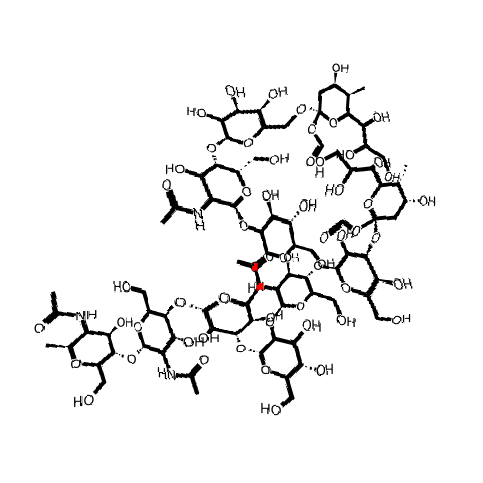 CC(=O)NC1C(O)[C@H](O[C@@H]2OC(CO[C@]3(OC=O)C[C@@H](O)[C@@H](C)C(C(O)C(O)CO)O3)[C@H](O)[C@H](O)C2O)[C@H](CO)O[C@H]1OC1[C@@H](OCC2O[C@@H](O[C@@H]3C(CO)O[C@@H](O[C@@H]4C(CO)O[C@@H](C)C(NC(C)=O)[C@H]4O)C(NC(C)=O)[C@H]3O)C(O)[C@@H](O[C@H]3OC(CO)[C@@H](O)C(O)C3O[C@@H]3OC(CO)[C@@H](O[C@@H]4OC(CO)[C@H](O)[C@H](O[C@]5(OC=O)C[C@@H](O)[C@@H](C)C(C(O)C(O)CO)O5)C4O)[C@H](O)C3NC(C)=O)[C@@H]2O)OC(CO)[C@@H](O)[C@@H]1O